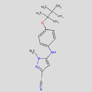 Cn1nc(C#N)cc1Nc1ccc(O[Si](C)(C)C(C)(C)C)cc1